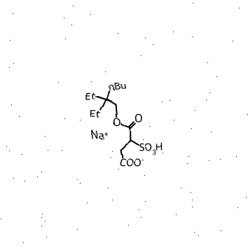 CCCCC(CC)(CC)COC(=O)C(CC(=O)[O-])S(=O)(=O)O.[Na+]